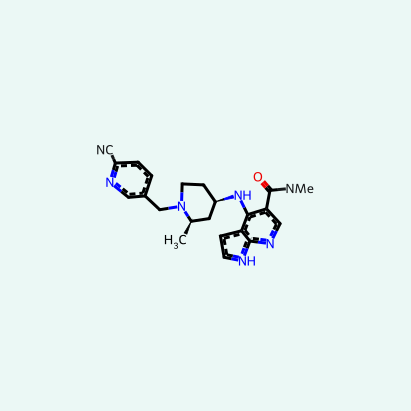 CNC(=O)c1cnc2[nH]ccc2c1N[C@@H]1CCN(Cc2ccc(C#N)nc2)[C@H](C)C1